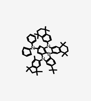 Cc1cc2c(cc1N1c3cc(C(C)(C)C)ccc3B3c4cc5c(cc4N(c4ccc6c(c4)C(C)(C)CCC6(C)C)c4cc(N(c6ccccc6)c6ccccc6)cc1c43)C(C)(C)CCC5(C)C)C(C)(C)CC2(C)C